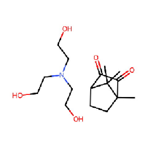 CC12CCC(C(=O)C1=O)C2(C)C.OCCN(CCO)CCO